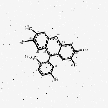 CC(C)c1ccc(C(=O)O)c(-c2c3cc(F)c(=O)cc-3oc3cc(O)c(F)cc23)c1